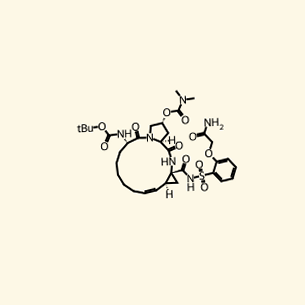 CN(C)C(=O)O[C@@H]1C[C@H]2C(=O)N[C@]3(C(=O)NS(=O)(=O)c4ccccc4OCC(N)=O)C[C@H]3/C=C\CCCCC[C@H](NC(=O)OC(C)(C)C)C(=O)N2C1